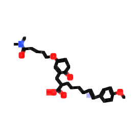 COc1ccc(/C=C/CCCCC(CC2=CC(OCCCCC(=O)N(C)C)=CCC2=O)C(=O)O)cc1